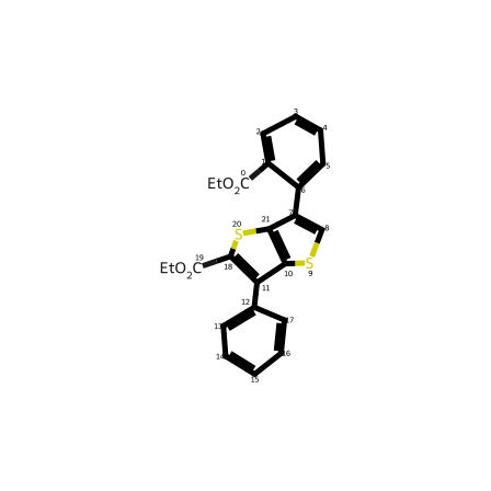 CCOC(=O)c1ccccc1-c1csc2c(-c3ccccc3)c(C(=O)OCC)sc12